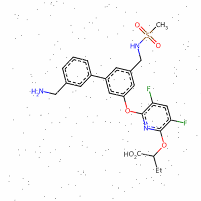 CCC(Oc1nc(Oc2cc(CNS(C)(=O)=O)cc(-c3cccc(CN)c3)c2)c(F)cc1F)C(=O)O